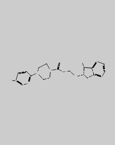 N#Cc1ccc(N2CCN(C(=O)CCOC3Cc4ccccc4C3O)CC2)nc1